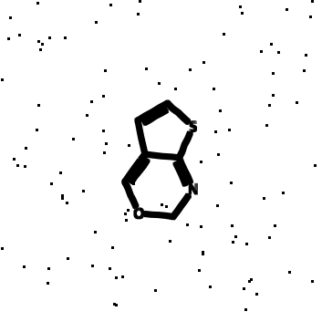 C1=c2ccsc2=NCO1